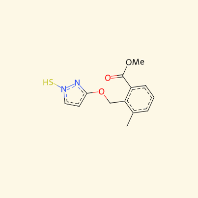 COC(=O)c1cccc(C)c1COc1ccn(S)n1